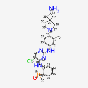 Cc1cc(Nc2ncc(Cl)c(Nc3ccccc3P(C)(C)=O)n2)ccc1N1CCC2(CC1)CC(N)C2